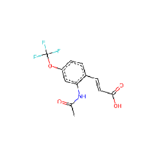 CC(=O)Nc1cc(OC(F)(F)F)ccc1/C=C/C(=O)O